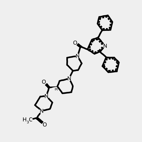 CC(=O)N1CCN(C(=O)[C@@H]2CCCN(C3CCN(C(=O)c4cc(-c5ccccc5)nc(-c5ccccc5)c4)CC3)C2)CC1